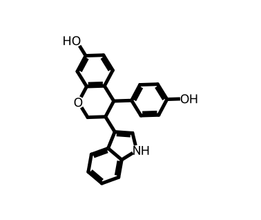 Oc1ccc(C2c3ccc(O)cc3OCC2c2c[nH]c3ccccc23)cc1